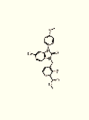 COC(=O)c1cccc(Cn2c(=O)n(-c3ccc(SC)cc3)c3cc(Cl)ccc32)c1F